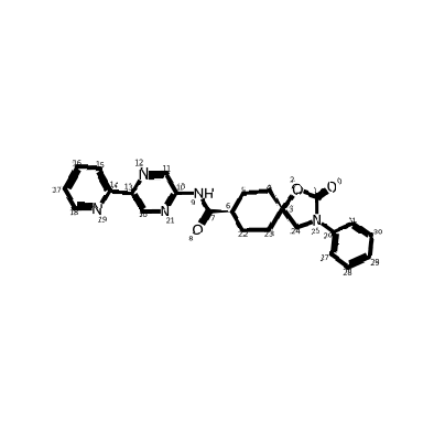 O=C1O[C@]2(CC[C@H](C(=O)Nc3cnc(-c4ccccn4)cn3)CC2)CN1c1ccccc1